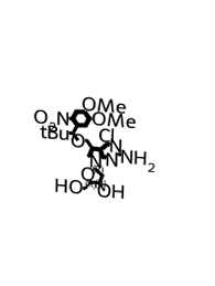 COc1cc(C(OCc2cn([C@H]3C[C@@H](O)[C@@H](CO)O3)c3nc(N)nc(Cl)c23)C(C)(C)C)c([N+](=O)[O-])cc1OC